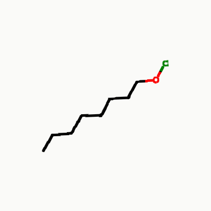 CCCCCCCCOCl